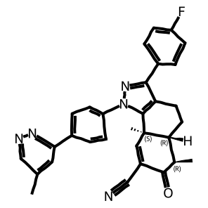 Cc1cnnc(-c2ccc(-n3nc(-c4ccc(F)cc4)c4c3[C@]3(C)C=C(C#N)C(=O)[C@H](C)[C@H]3CC4)cc2)c1